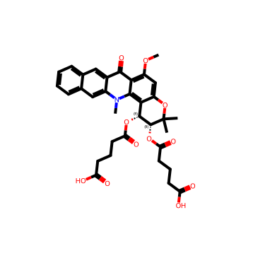 COc1cc2c(c3c1c(=O)c1cc4ccccc4cc1n3C)[C@@H](OC(=O)CCCC(=O)O)[C@@H](OC(=O)CCCC(=O)O)C(C)(C)O2